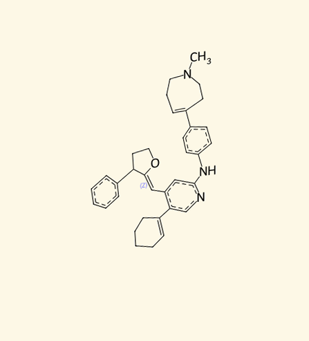 CN1CCC=C(c2ccc(Nc3cc(/C=C4\OCCC4c4ccccc4)c(C4=CCCCC4)cn3)cc2)CC1